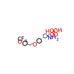 N[C@@]1(COP(=O)(O)O)CC[C@@H](c2ccc(OCCc3ccc(OC(F)(F)F)cc3)cc2)C1